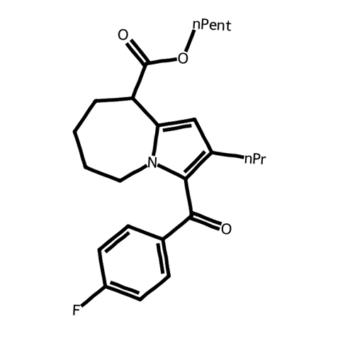 CCCCCOC(=O)C1CCCCn2c1cc(CCC)c2C(=O)c1ccc(F)cc1